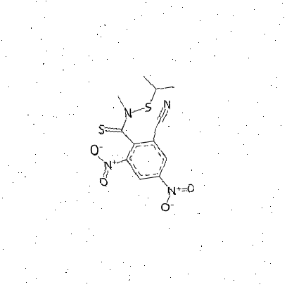 CC(C)SN(C)C(=S)c1c(C#N)cc([N+](=O)[O-])cc1[N+](=O)[O-]